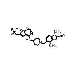 Cc1c(CN2CCC(Nc3ncnc4sc(CC(F)(F)F)cc34)CC2)ccc2c1cc(C#N)n2C